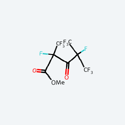 COC(=O)C(F)(C(=O)C(F)(C(F)(F)F)C(F)(F)F)C(F)(F)F